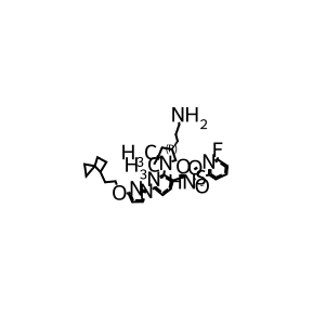 CC1(C)C[C@@H](CCCN)CN1c1nc(-n2ccc(OCCC3CCC34CC4)n2)ccc1C(=O)NS(=O)(=O)c1cccc(F)n1